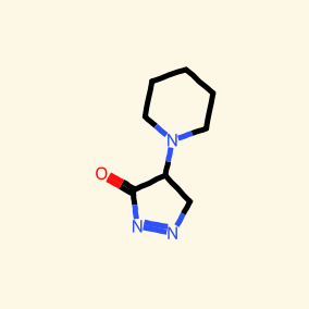 O=C1N=NCC1N1CCCCC1